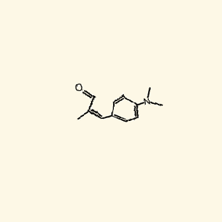 CC(C=O)=Cc1ccc(N(C)C)cc1